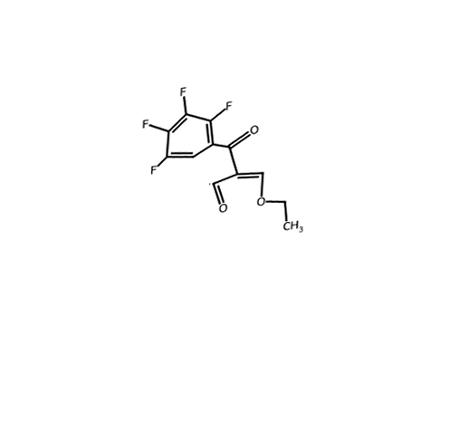 CCOC=C([C]=O)C(=O)c1cc(F)c(F)c(F)c1F